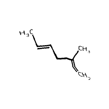 C=C(C)CC=CC